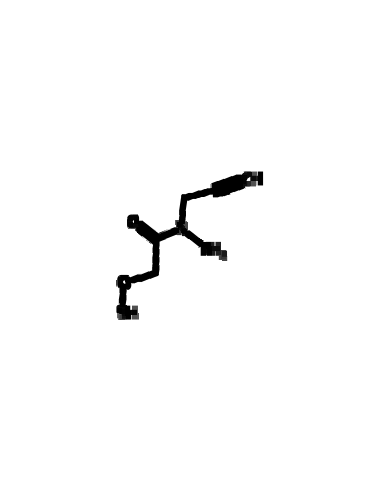 C#CCN(N)C(=O)COS